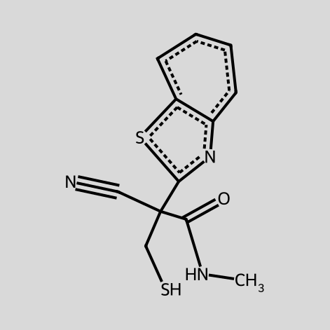 CNC(=O)C(C#N)(CS)c1nc2ccccc2s1